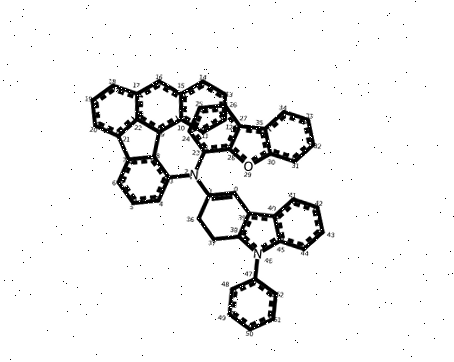 C1=C(N(c2cccc3c2-c2c4ccccc4cc4cccc-3c24)c2cccc3c2oc2ccccc23)CCc2c1c1ccccc1n2-c1ccccc1